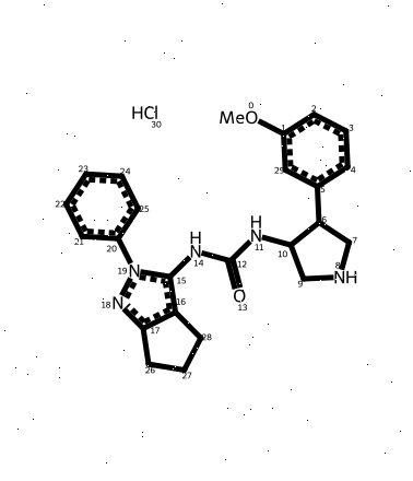 COc1cccc(C2CNCC2NC(=O)Nc2c3c(nn2-c2ccccc2)CCC3)c1.Cl